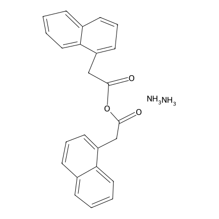 N.N.O=C(Cc1cccc2ccccc12)OC(=O)Cc1cccc2ccccc12